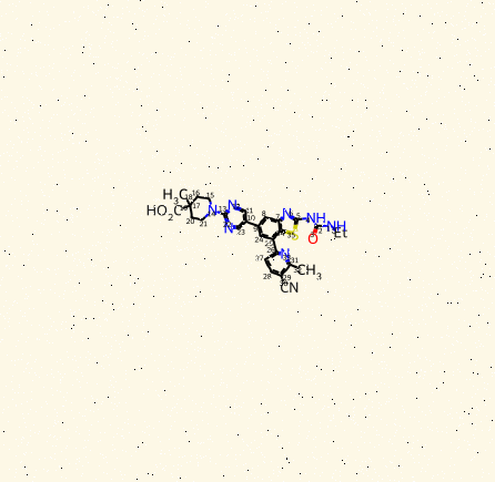 CCNC(=O)Nc1nc2cc(-c3cnc(N4CCC(C)(C(=O)O)CC4)nc3)cc(-c3ccc(C#N)c(C)n3)c2s1